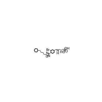 O=P(O)(O)CCCNCc1ccc(-c2noc(CCCCc3ccccc3)n2)c(Br)c1